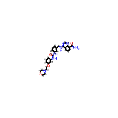 NC(=O)c1cccc2c(NCc3cccc(NC(=O)Nc4cccc(OCCN5CCOCC5)c4)c3)ncnc12